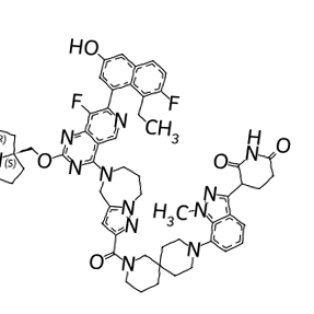 CCc1c(F)ccc2cc(O)cc(-c3ncc4c(N5CCCn6nc(C(=O)N7CCCC8(CCN(c9cccc%10c(C%11CCC(=O)NC%11=O)nn(C)c9%10)CC8)C7)cc6C5)nc(OC[C@@]56CCCN5C[C@H](F)C6)nc4c3F)c12